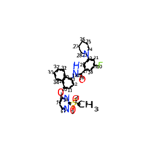 CS(=O)(=O)c1nccc(Oc2ccc(NC(=O)c3cc(F)cc(N4CCCCC4)c3)c3ccccc23)n1